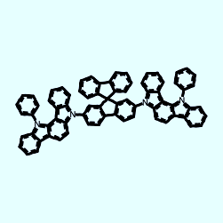 c1ccc(-n2c3ccccc3c3ccc4c(c5ccccc5n4-c4ccc5c(c4)C4(c6ccccc6-c6ccccc64)c4cc(-n6c7ccccc7c7c6ccc6c8ccccc8n(-c8ccccc8)c67)ccc4-5)c32)cc1